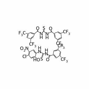 O=C(NC(=S)NC(=O)c1cc(C(F)(F)F)cc(C(F)(F)F)c1)c1cc(C(F)(F)F)cc(C(F)(F)F)c1.O=C(NC(=S)Nc1cc([N+](=O)[O-])c(Cl)cc1O)c1cc(C(F)(F)F)cc(C(F)(F)F)c1